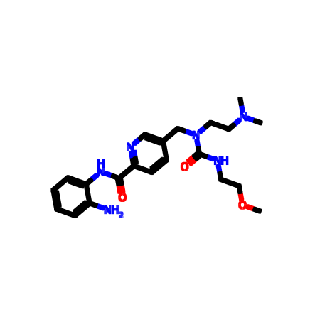 COCCNC(=O)N(CCN(C)C)Cc1ccc(C(=O)Nc2ccccc2N)nc1